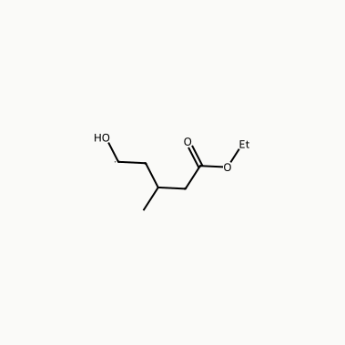 CCOC(=O)CC(C)C[CH]O